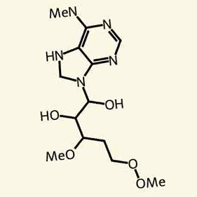 CNc1ncnc2c1NCN2C(O)C(O)C(CCOOC)OC